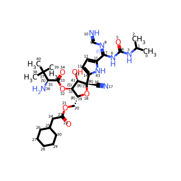 CC(C)NC(=O)N/C(=N/C=N)c1ccc([C@]2(C#N)O[C@H](COC(=O)CC3CCCCC3)[C@@H](OC(=O)[C@@H](N)C(C)(C)C)[C@H]2O)[nH]1